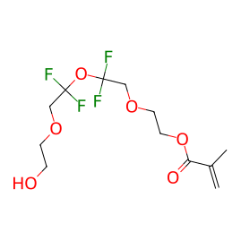 C=C(C)C(=O)OCCOCC(F)(F)OC(F)(F)COCCO